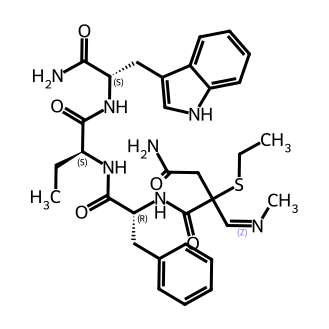 CCSC(/C=N\C)(CC(N)=O)C(=O)N[C@H](Cc1ccccc1)C(=O)N[C@@H](CC)C(=O)N[C@@H](Cc1c[nH]c2ccccc12)C(N)=O